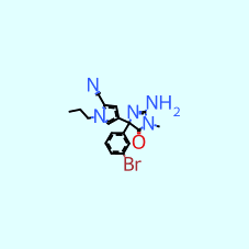 CCCn1cc(C2(c3cccc(Br)c3)N=C(N)N(C)C2=O)cc1C#N